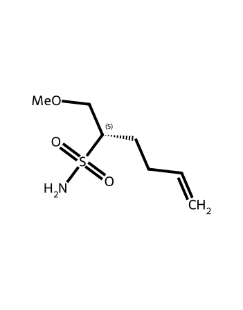 C=CCC[C@@H](COC)S(N)(=O)=O